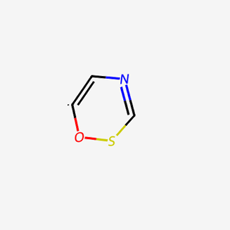 [C]1=CN=CSO1